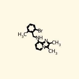 Cc1cccc(Br)c1CNc1cccn2c(C)c(C)nc12